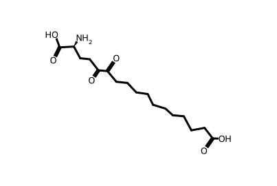 N[C@@H](CCC(=O)C(=O)CCCCCCCCCCC(=O)O)C(=O)O